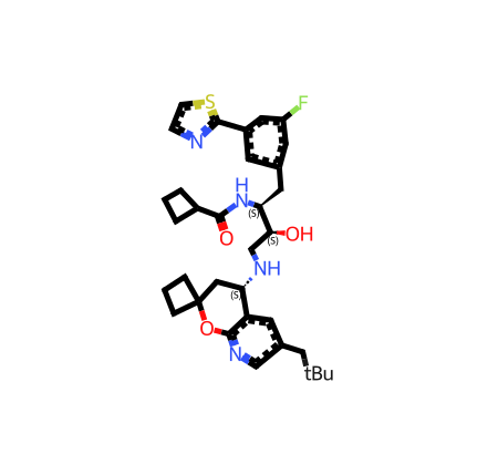 CC(C)(C)Cc1cnc2c(c1)[C@@H](NC[C@H](O)[C@H](Cc1cc(F)cc(-c3nccs3)c1)NC(=O)C1CCC1)CC1(CCC1)O2